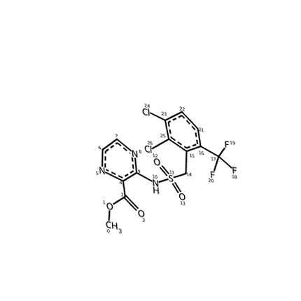 COC(=O)c1nccnc1NS(=O)(=O)Cc1c(C(F)(F)F)ccc(Cl)c1Cl